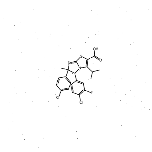 CC(C)C1=C(C(=O)O)SC2=NC(C)(c3ccc(Cl)cc3)C(c3ccc(Cl)c(F)c3)N21